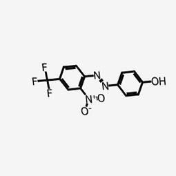 O=[N+]([O-])c1cc(C(F)(F)F)ccc1N=Nc1ccc(O)cc1